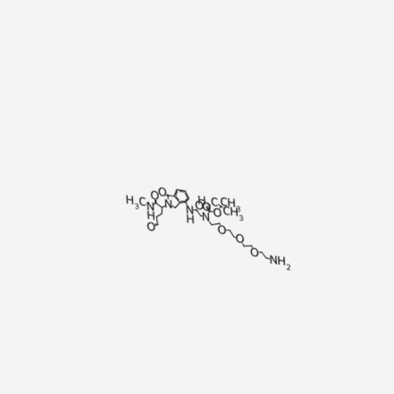 CNC(=O)C(CCC=O)N1Cc2c(NC(=O)CN(CCOCCOCCOCCN)C(=O)OC(C)(C)C)cccc2C1=O